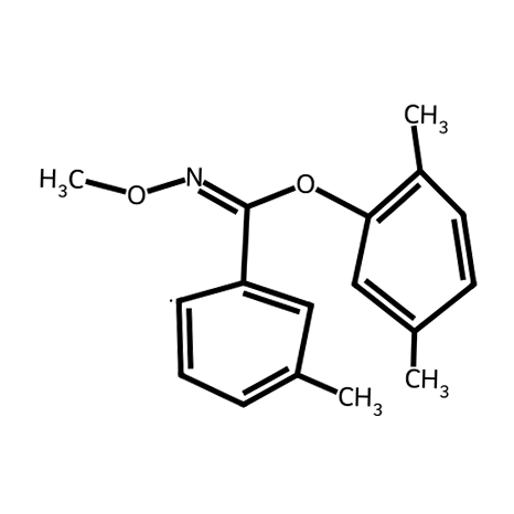 CO/N=C(/Oc1cc(C)ccc1C)c1[c]ccc(C)c1